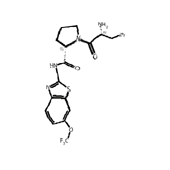 CC(C)C[C@@H](N)C(=O)N1CCC[C@H]1C(=O)Nc1nc2ccc(OC(F)(F)F)cc2s1